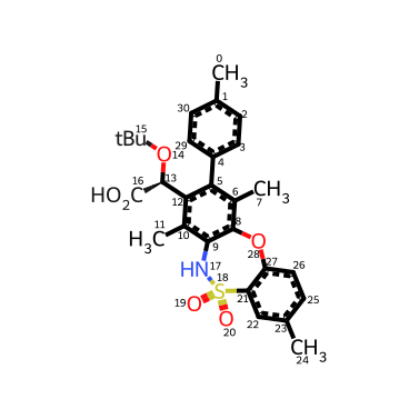 Cc1ccc(-c2c(C)c3c(c(C)c2[C@H](OC(C)(C)C)C(=O)O)NS(=O)(=O)c2cc(C)ccc2O3)cc1